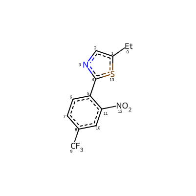 CCc1cnc(-c2ccc(C(F)(F)F)cc2[N+](=O)[O-])s1